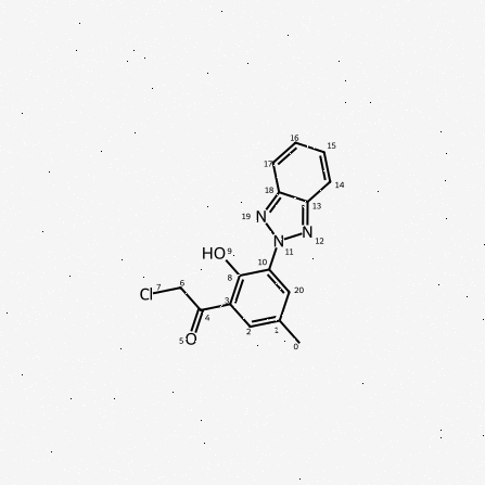 Cc1cc(C(=O)CCl)c(O)c(-n2nc3ccccc3n2)c1